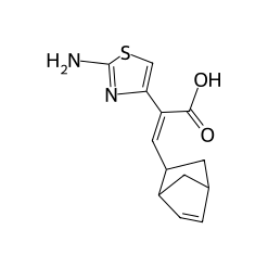 Nc1nc(C(=CC2CC3C=CC2C3)C(=O)O)cs1